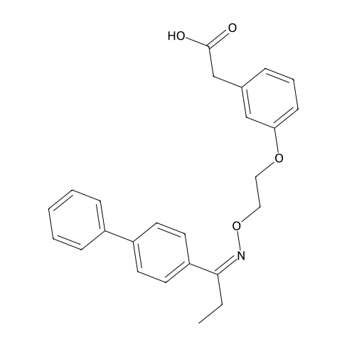 CCC(=NOCCOc1cccc(CC(=O)O)c1)c1ccc(-c2ccccc2)cc1